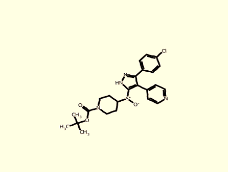 CC(C)(C)OC(=O)N1CCC([S+]([O-])c2[nH]nc(-c3ccc(Cl)cc3)c2-c2ccncc2)CC1